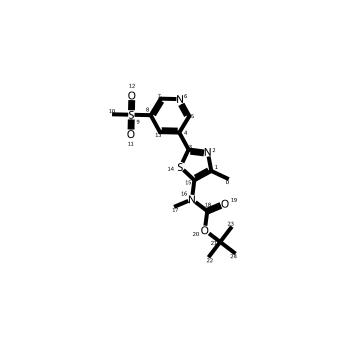 Cc1nc(-c2cncc(S(C)(=O)=O)c2)sc1N(C)C(=O)OC(C)(C)C